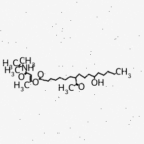 CCCCCC(O)CCCC(CCCCCCC(=O)OC(C)=CC(=O)NC(C)(C)C)C(C)=O